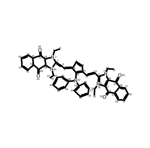 CCN1C(=C/C=C2\C=CC(/C=C/c3n(CC)c4c([n+]3CC)C(=O)c3ccccc3C4=O)=C2N(c2ccccc2)c2ccccc2)N(CC)C2C(=O)C3C=CC=CC3C(=O)C21